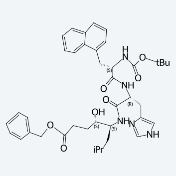 CC(C)C[C@H](NC(=O)[C@@H](Cc1c[nH]cn1)NC(=O)[C@H](Cc1cccc2ccccc12)NC(=O)OC(C)(C)C)[C@@H](O)CCC(=O)OCc1ccccc1